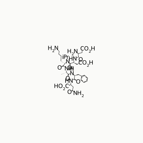 CC(C)N(C(=O)[C@H](CC(=O)O)NC(=O)[C@@H](N)CC(=O)O)[C@@H](CCCCN)C(=O)N[C@@H](C)C(=O)N[C@@H](Cc1ccccc1)C(=O)N[C@@H](CC(N)=O)C(=O)O